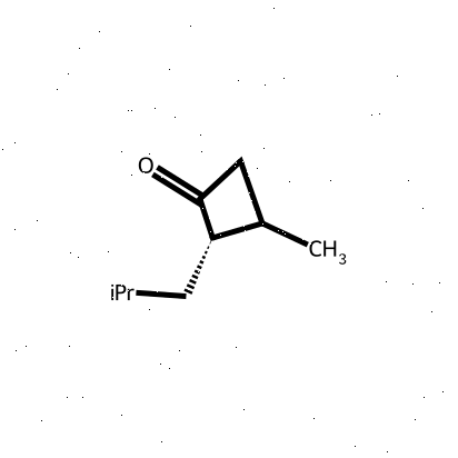 CC(C)C[C@@H]1C(=O)CC1C